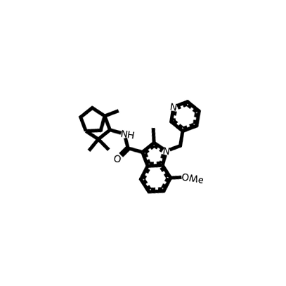 COc1cccc2c(C(=O)NC3C4(C)CCC(C4)C3(C)C)c(C)n(Cc3cccnc3)c12